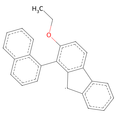 CCOc1ccc2c(c1-c1cccc3ccccc13)[CH]c1ccccc1-2